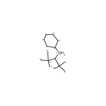 CC(C)(C)C([SiH2][C]1CCCCC1)C(C)(C)C